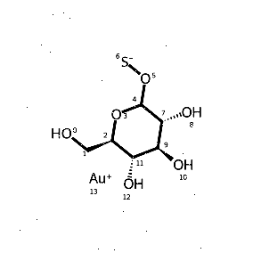 OC[C@H]1OC(O[S-])[C@H](O)[C@@H](O)[C@@H]1O.[Au+]